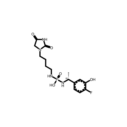 C[C@@H](NP(=O)(O)NCCCCN1CC(=O)NC1=O)c1ccc(F)c(O)c1